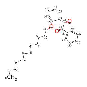 CCCCCCCCCCCCOc1ccccc1C(=O)C(=O)c1ccccc1